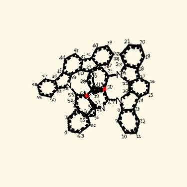 c1ccc(-c2nc(-n3c4ccccc4c4ccc5c6ccccc6n(-c6ccccc6)c5c43)cc(-n3c4ccccc4c4ccc5c6ccccc6n(-c6ccccc6)c5c43)n2)cc1